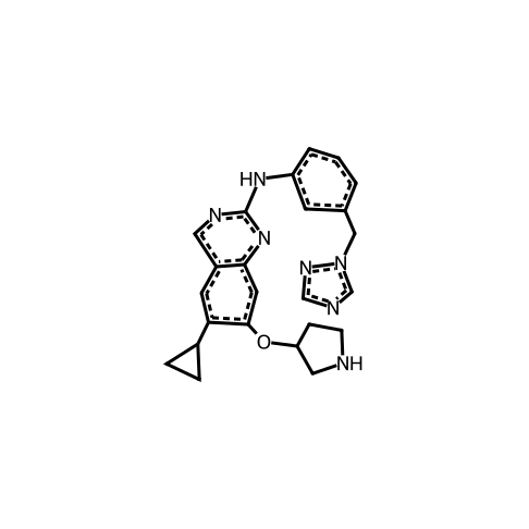 c1cc(Cn2cncn2)cc(Nc2ncc3cc(C4CC4)c(OC4CCNC4)cc3n2)c1